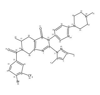 Cc1cc(C)n(-c2nc3c(c(=O)n2-c2ccc(N4CCN(C)CC4)nc2)CC(C)N(C(=O)c2ccc(Br)c(C(F)(F)F)c2)C3)n1